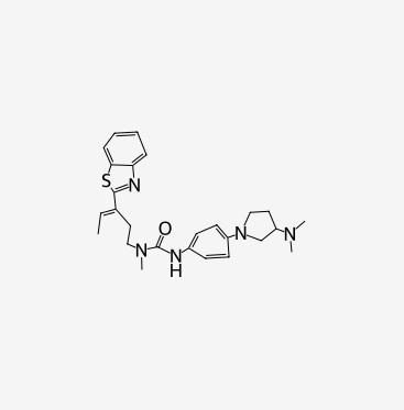 C/C=C(\CCN(C)C(=O)Nc1ccc(N2CCC(N(C)C)C2)cc1)c1nc2ccccc2s1